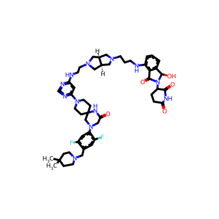 CC1(C)CCN(Cc2cc(F)c(N3CC(=O)NC4(CCN(c5cc(NCCN6C[C@H]7CN(CCCNc8cccc9c8C(=O)N(C8CCC(=O)NC8=O)C9O)C[C@H]7C6)ncn5)CC4)C3)cc2F)CC1